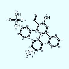 C=Cc1c(O)cc(-c2ccccc2)c(-c2ccccc2)c1-c1ccccc1.N.N.O=S(=O)(O)O